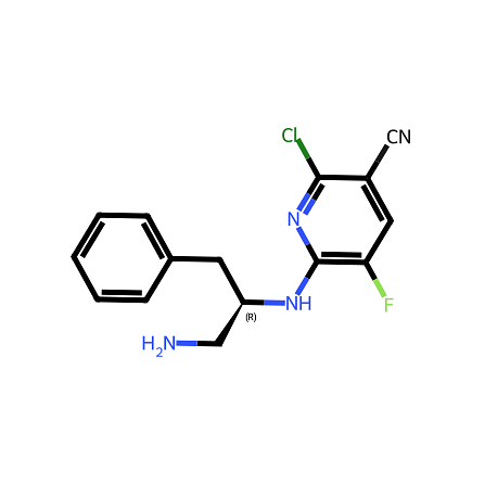 N#Cc1cc(F)c(N[C@@H](CN)Cc2ccccc2)nc1Cl